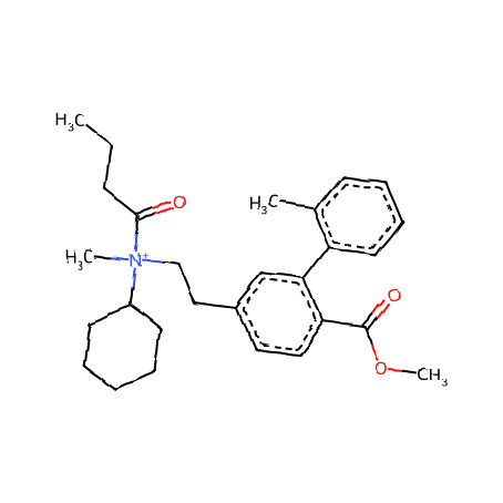 CCCC(=O)[N+](C)(CCc1ccc(C(=O)OC)c(-c2ccccc2C)c1)C1CCCCC1